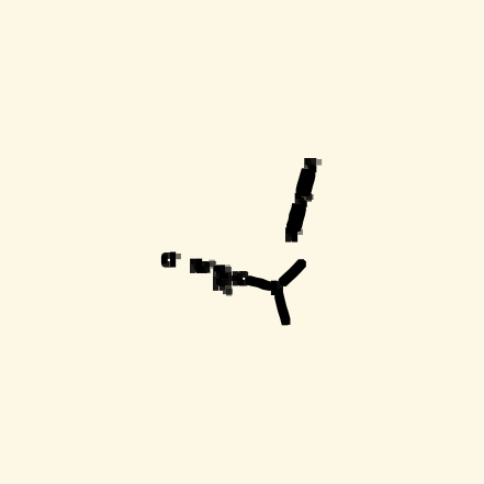 CN(C)C=O.[Cl-].[N-]=[N+]=[N-].[NH4+].[Na+]